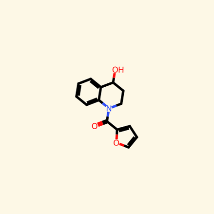 O=C(c1ccco1)N1CCC(O)c2ccccc21